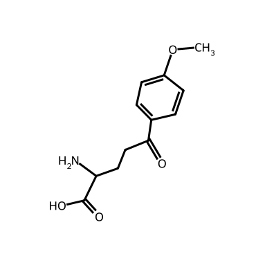 COc1ccc(C(=O)CCC(N)C(=O)O)cc1